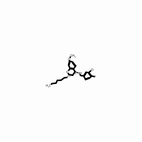 CCCCCCC[C@H]1C[C@H](NCc2ccc(F)c(Cl)c2)c2ccc(OC)cc2O1